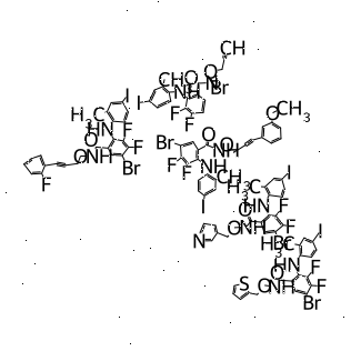 C#CCON(Br)C(=O)c1ccc(F)c(F)c1Nc1ccc(I)cc1C.COc1cccc(C#CCONC(=O)c2cc(Br)c(F)c(F)c2Nc2ccc(I)cc2C)c1.Cc1cc(I)ccc1Nc1c(C(=O)NOCC#Cc2ccccc2F)cc(Br)c(F)c1F.Cc1cc(I)ccc1Nc1c(C(=O)NOCc2cccnc2)cc(Br)c(F)c1F.Cc1cc(I)ccc1Nc1c(C(=O)NOCc2cccs2)cc(Br)c(F)c1F